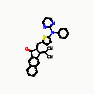 N#CC(C#N)=C1/C(=C\c2ccc(N(c3ccccc3)c3ncccn3)s2)C(=O)c2cc3ccccc3cc21